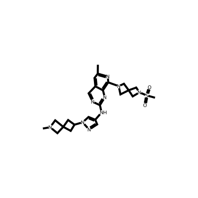 Cc1cc2cnc(Nc3cnn(C4CC5(C4)CN(C)C5)c3)nc2c(N2CC3(C2)CN(S(C)(=O)=O)C3)n1